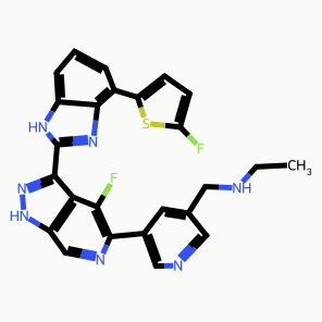 CCNCc1cncc(-c2ncc3[nH]nc(-c4nc5c(-c6ccc(F)s6)cccc5[nH]4)c3c2F)c1